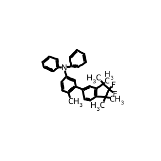 Cc1ccc(N(c2ccccc2)c2ccccc2)cc1-c1ccc2c(c1)C(C)(C)C(F)(F)C2(C)C